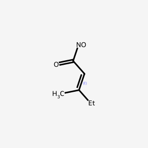 CC/C(C)=C/C(=O)N=O